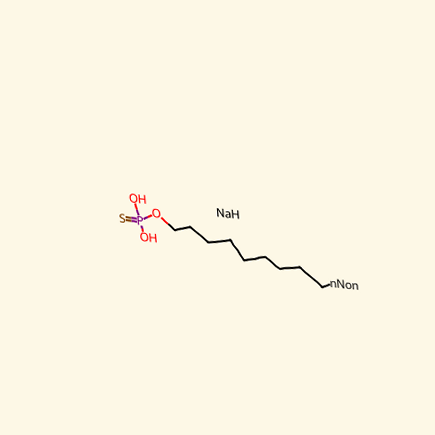 CCCCCCCCCCCCCCCCCCOP(O)(O)=S.[NaH]